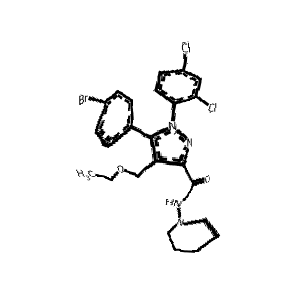 CCOCc1c(C(=O)NN2CCCCC2)nn(-c2ccc(Cl)cc2Cl)c1-c1ccc(Br)cc1